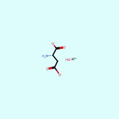 N[C@@H](CC(=O)[O-])C(=O)[O-].[Al+3].[OH-]